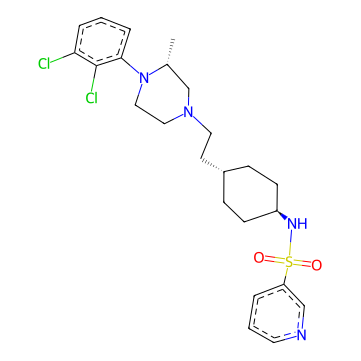 C[C@@H]1CN(CC[C@H]2CC[C@H](NS(=O)(=O)c3cccnc3)CC2)CCN1c1cccc(Cl)c1Cl